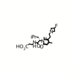 Cc1cc(=O)n([C@@H](CC(C)C)C(=O)NCCC(=O)O)nc1CCN1CC(F)C1